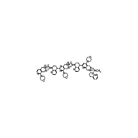 CN(C[C@@H]1Cc2c(N3CCOCC3)cc(C3CC[C@H](N(C)C[C@H]4Cc5c(nc(C6CC[C@H](N(C)C[C@H]7Cc8c(ccnc8N8CCOCC8)CN7)c7ncccc76)nc5N5CCOCC5)CN4)c4ncccc43)nc2CN1)[C@H]1CCCc2cccnc21